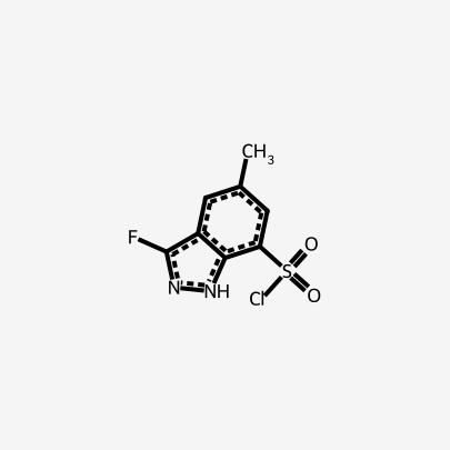 Cc1cc(S(=O)(=O)Cl)c2[nH]nc(F)c2c1